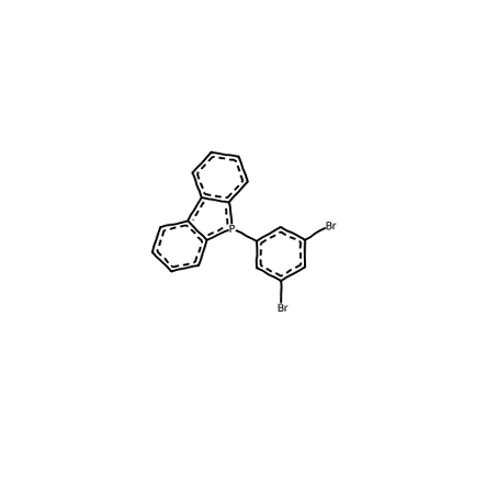 Brc1cc(Br)cc(-p2c3ccccc3c3ccccc32)c1